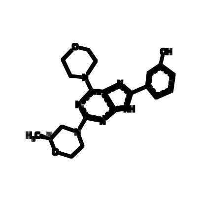 C[C@H]1CN(c2nc(N3CCOCC3)c3nc(-c4cccc(O)c4)[nH]c3n2)CCO1